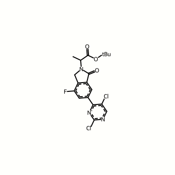 CC(C(=O)OC(C)(C)C)N1Cc2c(F)cc(-c3nc(Cl)ncc3Cl)cc2C1=O